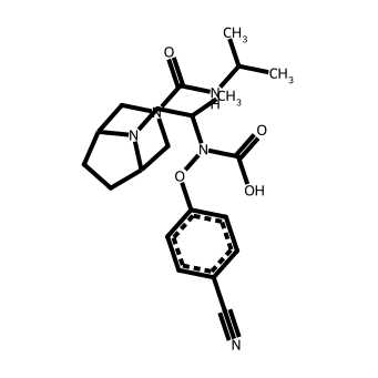 CC(C)NC(=O)N1CC2CCC(C1)N2CC(C)N(Oc1ccc(C#N)cc1)C(=O)O